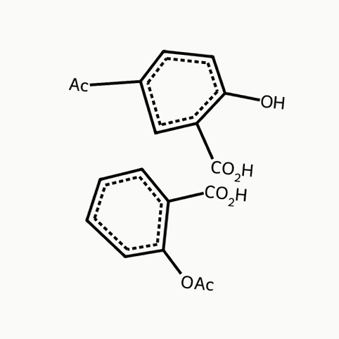 CC(=O)Oc1ccccc1C(=O)O.CC(=O)c1ccc(O)c(C(=O)O)c1